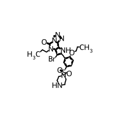 CCCOc1ccc(S(=O)(=O)N2CCNCC2)cc1-c1[nH]c2c(c1Br)n(CCC)c(=O)n1cnnc21